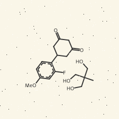 CC(CO)(CO)CO.COc1ccc(C2CC(=O)CC(=O)C2)c(F)c1